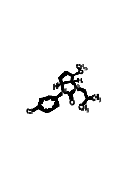 CO[C@@H]1C=C[C@@H]2[C@H]1N(CC(C)C)C(=O)N2c1ccc(Cl)cc1